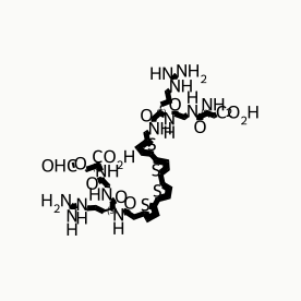 N=C(N)NCCC[C@H](NC(=O)CNC(=O)[C@@H](N)CC(=O)O)C(=O)NCc1ccc(-c2ccc(-c3ccc(-c4ccc(CC(=O)N[C@@H](CCCNC(=N)N)C(=O)NCC(=O)N[C@@H](COC=O)C(=O)O)s4)s3)s2)s1